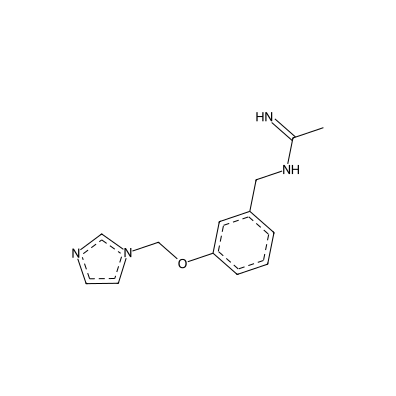 CC(=N)NCc1cccc(OCn2ccnc2)c1